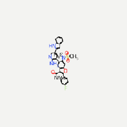 CNC(=O)c1c(-c2ccc(F)cc2)oc2cc(N(C)S(C)(=O)=O)c(-c3cc(-c4cc5ccccc5[nH]4)cnc3N)cc12